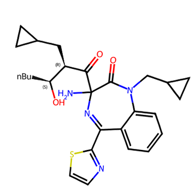 CCCC[C@H](O)[C@@H](CC1CC1)C(=O)C1(N)N=C(c2nccs2)c2ccccc2N(CC2CC2)C1=O